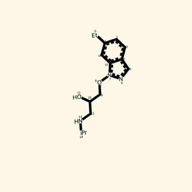 CCc1ccc2cnn(OCC(O)CNC(C)C)c2c1